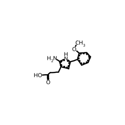 COc1ccccc1-c1cc(CCC(=O)O)c(N)[nH]1